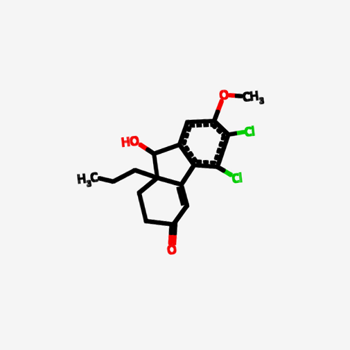 CCCC12CCC(=O)C=C1c1c(cc(OC)c(Cl)c1Cl)C2O